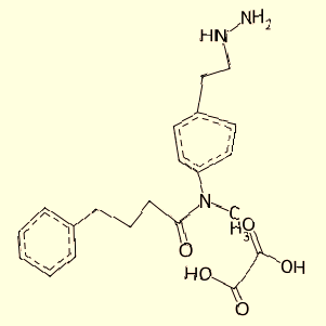 CN(C(=O)CCCc1ccccc1)c1ccc(CCNN)cc1.O=C(O)C(=O)O